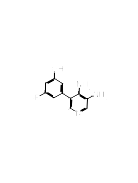 Nc1cncc(-c2cc(O)cc(F)c2)c1N